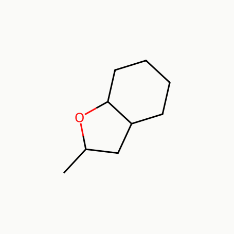 CC1CC2CCCCC2O1